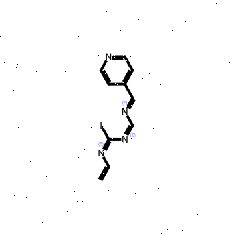 C=C\N=C(I)/N=C\N=C\c1ccncc1